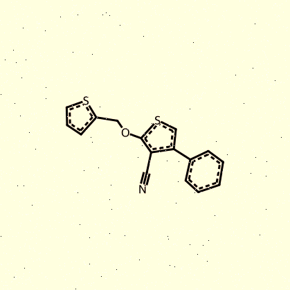 N#Cc1c(-c2ccccc2)csc1OCc1cccs1